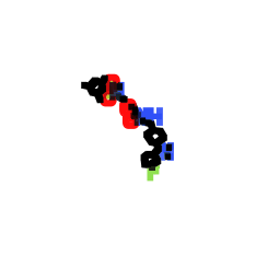 Cc1cc(C)c(S(=O)(=O)N(C)CCOCC(=O)NCCC2CCC(C(c3cccc(F)c3)N(C)C)CC2)c(C)c1